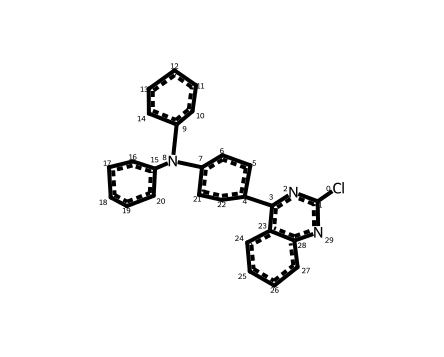 Clc1nc(-c2ccc(N(c3ccccc3)c3ccccc3)cc2)c2ccccc2n1